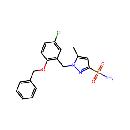 Cc1cc(S(N)(=O)=O)nn1Cc1cc(Cl)ccc1OCc1ccccc1